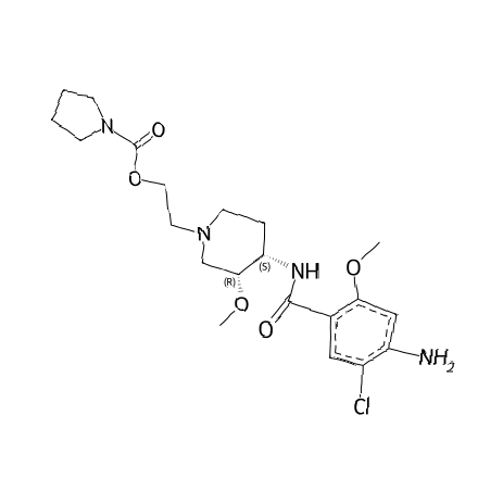 COc1cc(N)c(Cl)cc1C(=O)N[C@H]1CCN(CCOC(=O)N2CCCC2)C[C@H]1OC